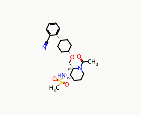 CC(=O)N1CCC[C@H](NS(C)(=O)=O)[C@@H]1CO[C@H]1CC[C@@H](c2ccccc2C#N)CC1